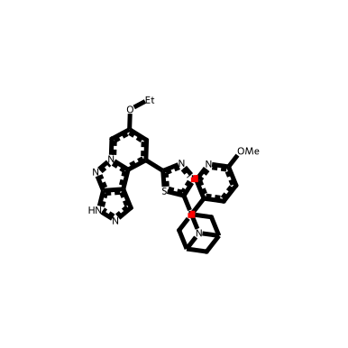 CCOc1cc(-c2nnc(N3CC4CC(C3)N4Cc3ccc(OC)nc3)s2)c2c3cn[nH]c3nn2c1